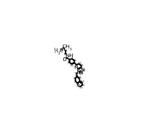 CN(C)CCNC(=O)c1ccc(-c2ccc3nnn(Cc4ccc5ncccc5c4)c3n2)cc1